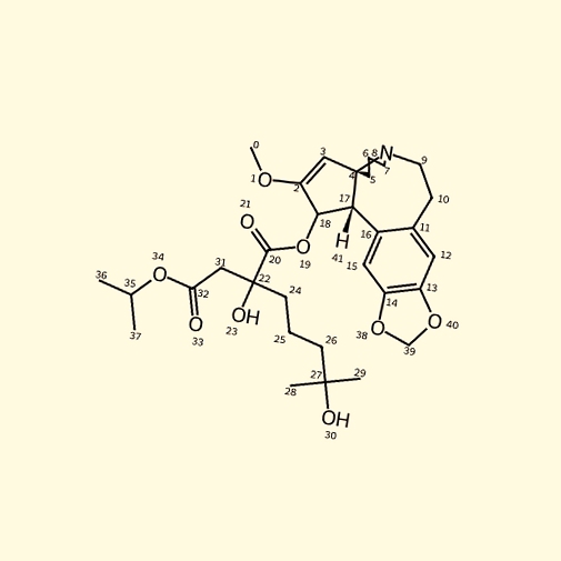 COC1=C[C@]23CCCN2CCc2cc4c(cc2[C@@H]3C1OC(=O)C(O)(CCCC(C)(C)O)CC(=O)OC(C)C)OCO4